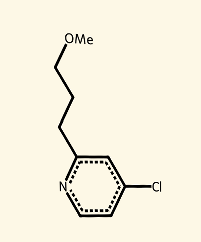 COCCCc1cc(Cl)ccn1